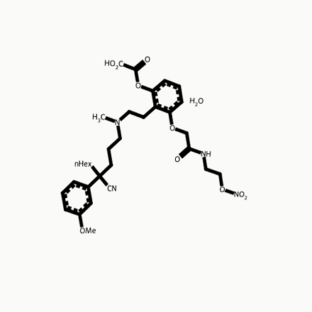 CCCCCCC(C#N)(CCCN(C)CCc1c(OCC(=O)NCCO[N+](=O)[O-])cccc1OC(=O)C(=O)O)c1cccc(OC)c1.O